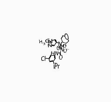 CC(C)c1cc(Cl)cc(NC(=O)[NH+]([O-])S(=O)(=O)N(c2cnn(C)c2)C2CCOCC2)c1